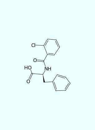 O=C(N[C@@H](Cc1ccccc1)C(=O)O)c1ccccc1Cl